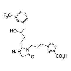 O=C(O)c1ccc(CCCN2C(=O)CC[C@@H]2CCC(O)Cc2cccc(C(F)(F)F)c2)s1.[NaH]